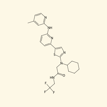 Cc1ccnc(Nc2cccc(-c3cnc(N(CC(=O)NCC(F)(F)F)C4CCCCC4)s3)n2)c1